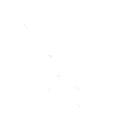 CC1CN(c2ccnc(-c3cnc4ccc(C(F)(F)F)cn34)n2)CC(C#N)O1